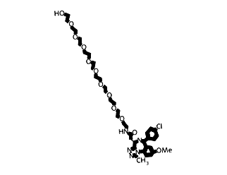 COc1ccc2c(c1)C(c1ccc(Cl)cc1)=N[C@@H](CC(=O)NCCOCCOCCOCCOCCOCCOCCOCCOCCOCCO)c1nnc(C)n1-2